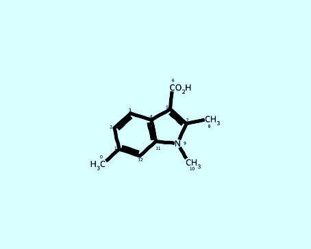 Cc1ccc2c(C(=O)O)c(C)n(C)c2c1